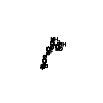 Cn1cc(-c2cc(N)ccc2Oc2cccc(OCCOC3CCN(C(=O)OC(C)(C)C)CC3)c2F)c2cc[nH]c2c1=O